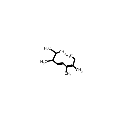 CCC(C)=C(C)C=CC(C)C(C)C